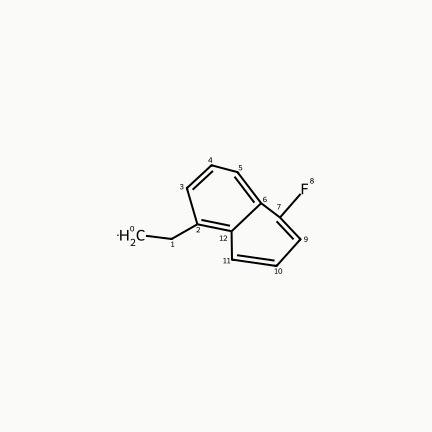 [CH2]Cc1cccc2c(F)cccc12